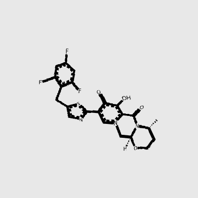 C[C@@H]1CCO[C@H]2Cn3cc(-c4ncc(Cc5c(F)cc(F)cc5F)s4)c(=O)c(O)c3C(=O)N12